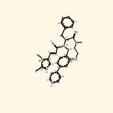 COCCN(C)C(=O)[C@H](Cc1ccccc1)N(Cc1ccc(-c2ccncc2)cc1)C(=O)/C=C/c1cnc(C)n1C